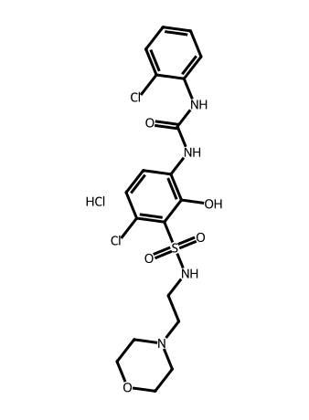 Cl.O=C(Nc1ccccc1Cl)Nc1ccc(Cl)c(S(=O)(=O)NCCN2CCOCC2)c1O